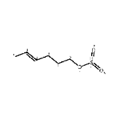 CC=CCCCO[SH](=O)=O